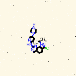 CC(C)n1nc(Cl)c2c1-c1nc(Nc3ccc(N4CCNCC4)cn3)ncc1CC2